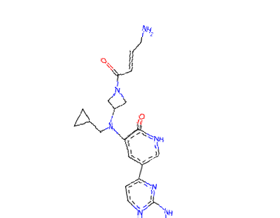 CNc1nccc(-c2c[nH]c(=O)c(N(CC3CC3)C3CN(C(=O)/C=C/CN)C3)c2)n1